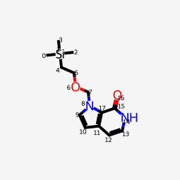 C[Si](C)(C)CCOCn1ccc2cc[nH]c(=O)c21